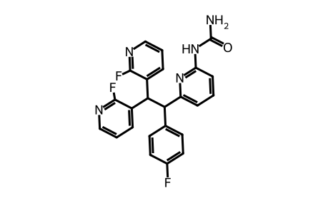 NC(=O)Nc1cccc(C(c2ccc(F)cc2)C(c2cccnc2F)c2cccnc2F)n1